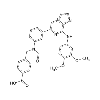 COc1ccc(Nc2nc(-c3cccc(N(C=O)Cc4ccc(C(=O)O)cc4)c3)cn3ccnc23)cc1OC